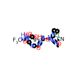 C=CC(=O)N1CCN(c2nc(OC[C@@H]3C[C@H](N4CCN(C(=O)C5CCN(Cc6ccc(-n7c(C(=O)NCC(F)(F)F)nnc7-c7cc(C(C)C)c(O)cc7O)cc6)CC5)CC4)CN3C)nc3c2CCN(c2cccc4cccc(Cl)c24)C3)C[C@@H]1CC#N